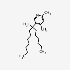 CCCCCCCC(C)(CCCCCC)c1cnc(C)cc1C